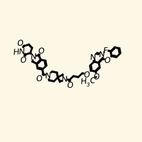 COc1cc2c(Oc3ccccc3F)ncnc2cc1OCCCC(=O)N1CC2(CCN(C(=O)c3ccc4c(c3)CN(C3CCC(=O)NC3=O)C4=O)CC2)C1